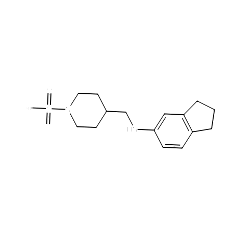 CC(C)(C)S(=O)(=O)N1CCC(CNc2ccc3c(c2)CCC3)CC1